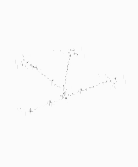 COP(=O)(O)OCCCCCCNC(=O)CCCCCNC(=O)[C@H](CCCCNC(=O)CCOCCOCCOCCOC1OC(CO)C(O)C(O)C1NC(C)=O)NC(=O)[C@H](CCCCNC(=O)CCOCCOCCOCCOC1OC(CO)C(O)C(O)C1NC(C)=O)NC(=O)CCOCCOCCOCCOC1OC(CO)C(O)C(O)C1NC(C)=O